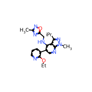 CCOc1ncccc1-c1cnc2c(c(C(C)C)nn2C)c1NCc1nc(C)no1